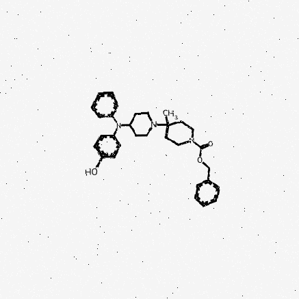 CC1(N2CCC(N(c3ccccc3)c3ccc(O)cc3)CC2)CCN(C(=O)OCc2ccccc2)CC1